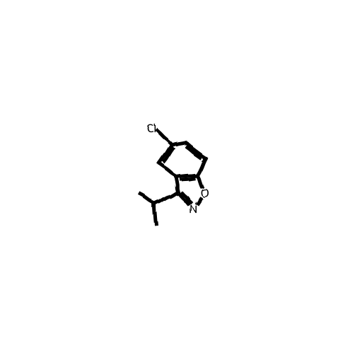 CC(C)c1noc2ccc(Cl)cc12